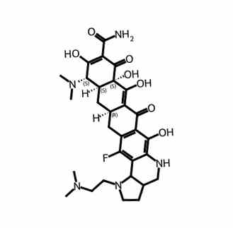 CN(C)CCN1CCC2CNc3c(O)c4c(c(F)c3C21)C[C@H]1C[C@H]2[C@H](N(C)C)C(O)=C(C(N)=O)C(=O)[C@@]2(O)C(O)=C1C4=O